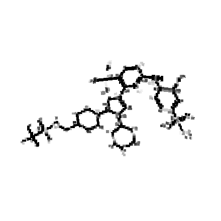 CC(C)(C)[Si](C)(C)OCC1CCC(N2CC(c3nc(Nc4ccc(S(N)(=O)=O)cc4F)ncc3C(F)(F)F)=CN2C2CCOCC2)CC1